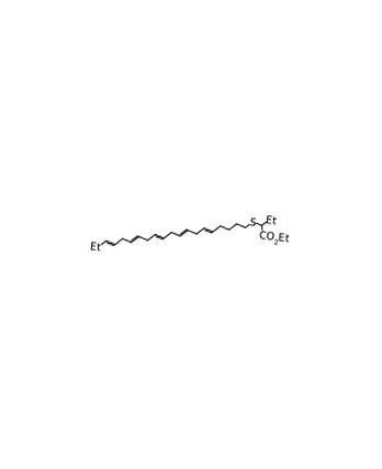 CCC=CCC=CCC=CCC=CCC=CCCCCSC(CC)C(=O)OCC